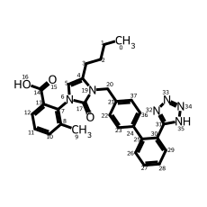 CCCCc1cn(-c2c(C)cccc2C(=O)O)c(=O)n1Cc1ccc(-c2ccccc2-c2nnn[nH]2)cc1